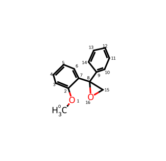 COc1ccccc1C1(c2ccccc2)CO1